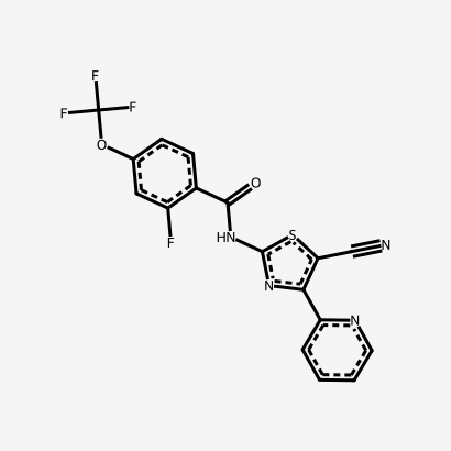 N#Cc1sc(NC(=O)c2ccc(OC(F)(F)F)cc2F)nc1-c1ccccn1